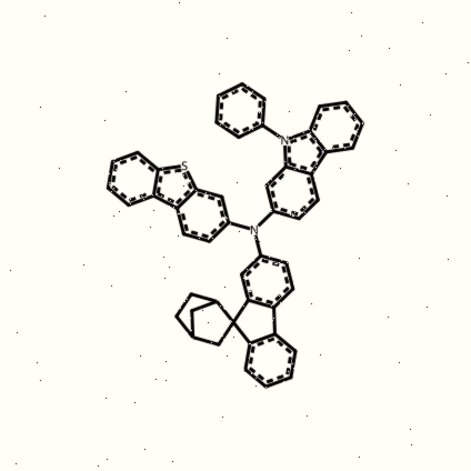 c1ccc(-n2c3ccccc3c3ccc(N(c4ccc5c(c4)C4(CC6CCC4C6)c4ccccc4-5)c4ccc5c(c4)sc4ccccc45)cc32)cc1